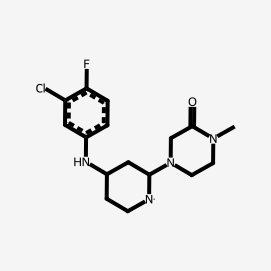 CN1CCN(C2CC(Nc3ccc(F)c(Cl)c3)CC[N]2)CC1=O